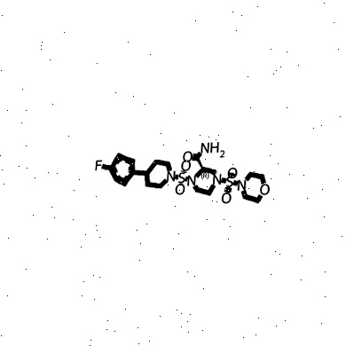 NC(=O)[C@H]1CN(S(=O)(=O)N2CCOCC2)CCN1S(=O)(=O)N1CCC(c2ccc(F)cc2)CC1